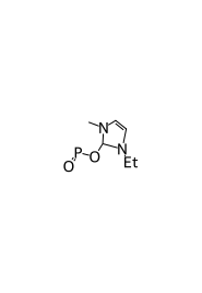 CCN1C=CN(C)C1OP=O